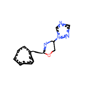 c1ccc(C2=NC(n3cncn3)CO2)cc1